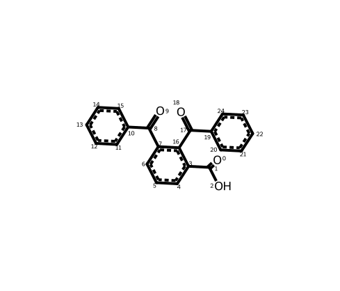 O=C(O)c1cccc(C(=O)c2ccccc2)c1C(=O)c1ccccc1